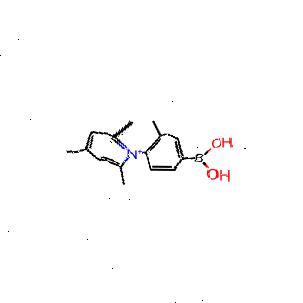 Cc1cc(C)[n+](-c2ccc(B(O)O)cc2C)c(C)c1